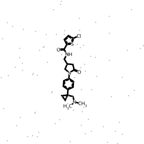 CN(C)CC1(c2ccc(N3CC(CNC(=O)c4ccc(Cl)s4)CC3=O)cc2)CC1